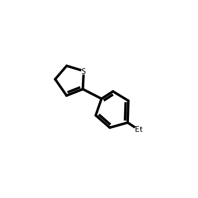 CCc1ccc(C2=CCCS2)cc1